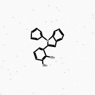 CC(C)(C)c1cccc(-c2cc3ccccc3n2-c2ccccc2)c1C(C)(C)C